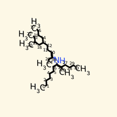 CCCCCCC/C(N/C(=C/CCC(CCCC)CC(C)CC)CC)=C(\C)CCCC